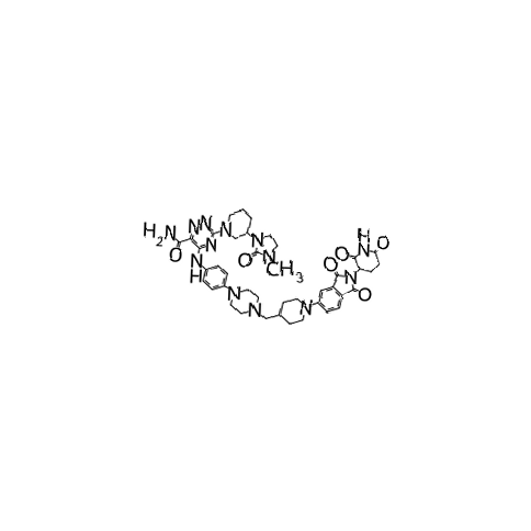 CN1CCN(C2CCCN(c3nnc(C(N)=O)c(Nc4ccc(N5CCN(CC6CCN(c7ccc8c(c7)C(=O)N(C7CCC(=O)NC7=O)C8=O)CC6)CC5)cc4)n3)C2)C1=O